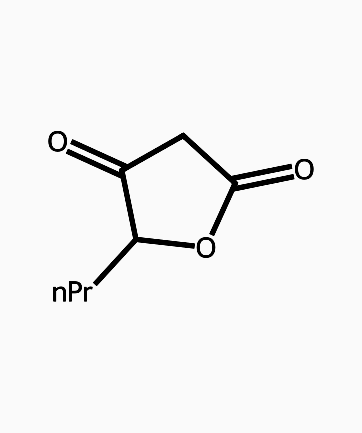 CCCC1OC(=O)CC1=O